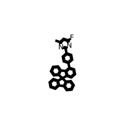 Cc1cc(F)nc(-c2ccc(-c3cccc4c3-c3ccccc3C43c4ccccc4-c4ccccc43)cc2)n1